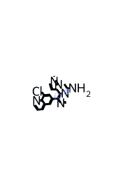 C=N/C(=C(\N=C(/C)N)c1ccn(C)n1)c1cc(Cl)c2ncccc2c1